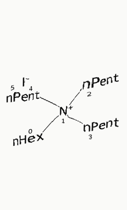 CCCCCC[N+](CCCCC)(CCCCC)CCCCC.[I-]